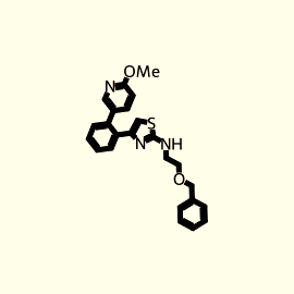 COc1ccc(-c2ccccc2-c2csc(NCCOCc3ccccc3)n2)cn1